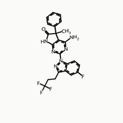 CC1(c2ccccc2)C(=O)Nc2nc(-n3nc(CCC(F)(F)F)c4cc(F)ccc43)nc(N)c21